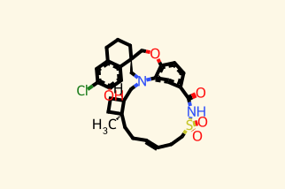 C[C@@]12CC/C=C/CCS(=O)(=O)NC(=O)c3ccc4c(c3)N(C[C@@H]1CC2)C[C@@]1(CCCc2cc(Cl)c(O)cc21)CO4